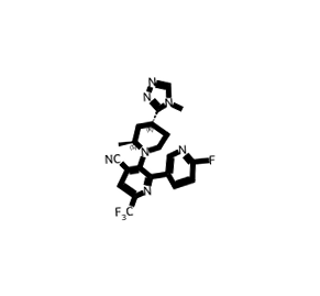 C[C@H]1C[C@H](c2nncn2C)CCN1c1c(C#N)cc(C(F)(F)F)nc1-c1ccc(F)nc1